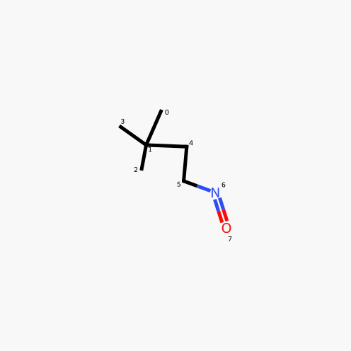 CC(C)(C)CCN=O